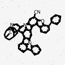 N#Cc1cc2c(c3cc4c(c5cccc6c7ccccc7n4c65)c4c5c6c(ncc5n2c34)C2CC3CC(C2)CC6C3)c2c1oc1c(-c3ccccc3)cccc12